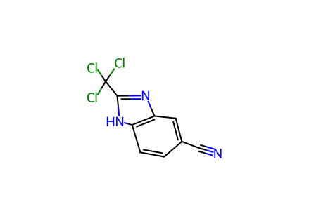 N#Cc1ccc2[nH]c(C(Cl)(Cl)Cl)nc2c1